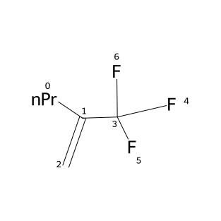 [CH2]CCC(=C)C(F)(F)F